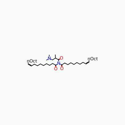 CCCCCCCC/C=C\CCCCCCCC(=O)N(C(=O)CCCCCCC/C=C\CCCCCCCC)C(=O)C(C)CN(C)C